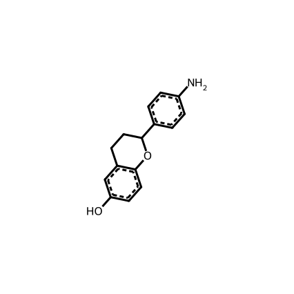 Nc1ccc(C2CCc3cc(O)ccc3O2)cc1